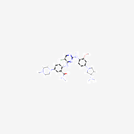 CNC(=O)c1cc(N2CCN(C)CC2)ccc1Nc1nc(Nc2ccc(N3CC[C@H](N(C)C)C3)cc2OC)ncc1Cl